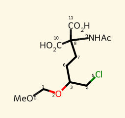 COCOC(CCl)CCC(NC(C)=O)(C(=O)O)C(=O)O